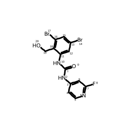 O=C(Nc1ccnc(F)c1)Nc1cc(Br)cc(Br)c1CO